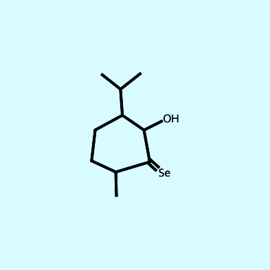 CC1CCC(C(C)C)C(O)C1=[Se]